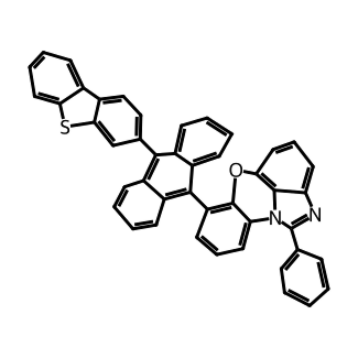 c1ccc(-c2nc3cccc4c3n2-c2cccc(-c3c5ccccc5c(-c5ccc6c(c5)sc5ccccc56)c5ccccc35)c2O4)cc1